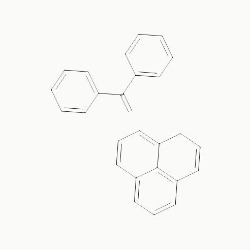 C1=Cc2cccc3cccc(c23)C1.O=C(c1ccccc1)c1ccccc1